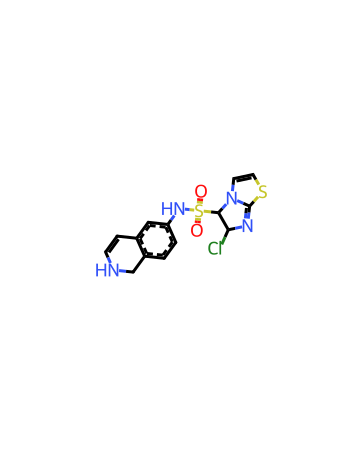 O=S(=O)(Nc1ccc2c(c1)C=CNC2)C1C(Cl)N=C2SC=CN21